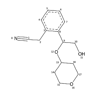 N#CCc1ccccc1C(CO)OC1CCOCC1